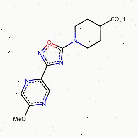 COc1cnc(-c2noc(N3CCC(C(=O)O)CC3)n2)cn1